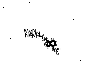 CNC(=NCCSCc1occ2c(CN(C)C)cccc12)NC#N